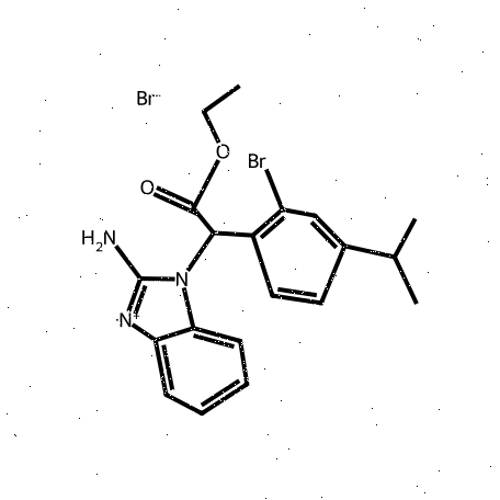 CCOC(=O)C(c1ccc(C(C)C)cc1Br)N1C(N)=[N+]c2ccccc21.[Br-]